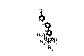 CNc1nc(-c2cccc(Oc3ccc(C#N)cn3)c2)ccc1N(O)CC(C)(C)C